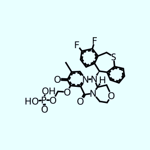 Cc1cn2c(c(OCOP(=O)(O)O)c1=O)C(=O)N1CCOC[C@H]1N2[C@@H]1c2ccccc2SCc2c1ccc(F)c2F